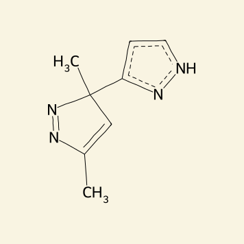 CC1=CC(C)(c2cc[nH]n2)N=N1